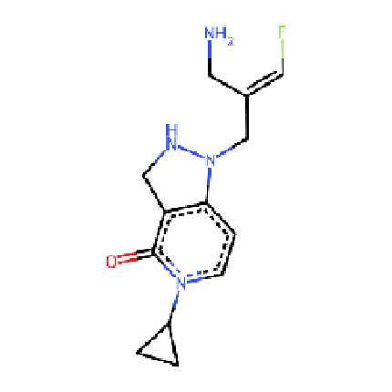 NC/C(=C\F)CN1NCc2c1ccn(C1CC1)c2=O